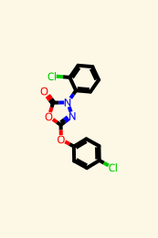 O=c1oc(Oc2ccc(Cl)cc2)nn1-c1ccccc1Cl